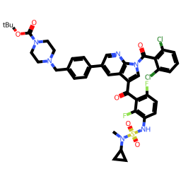 CN(C1CC1)S(=O)(=O)Nc1ccc(F)c(C(=O)c2cn(C(=O)c3c(Cl)cccc3Cl)c3ncc(-c4ccc(CN5CCN(C(=O)OC(C)(C)C)CC5)cc4)cc23)c1F